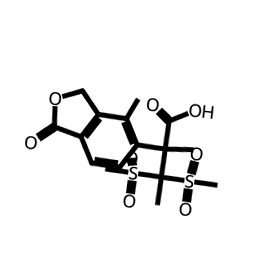 Cc1c(C(C)(C(=O)O)C(C)(S(C)(=O)=O)S(C)(=O)=O)ccc2c1COC2=O